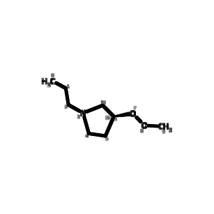 CCCN1CC[C@H](OOC)C1